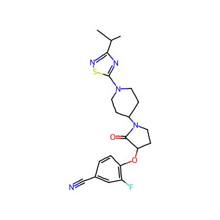 CC(C)c1nsc(N2CCC(N3CCC(Oc4ccc(C#N)cc4F)C3=O)CC2)n1